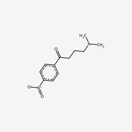 CN(C)CCCC(=O)c1ccc([N+](=O)[O-])cc1